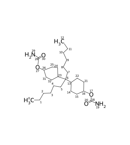 CCCCCCC(CCCCCC)(C1CCC(OC(N)=O)CC1)C1CCC(OC(N)=O)CC1